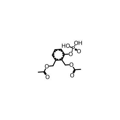 CC(=O)OCc1cccc(OP(=O)(O)O)c1COC(C)=O